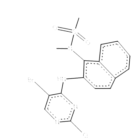 CN(c1c(Nc2nc(Cl)ncc2Br)ccc2ccccc12)S(C)(=O)=O